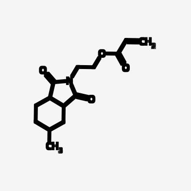 C=CC(=O)OCCN1C(=O)C2CCC(C)CC2C1=O